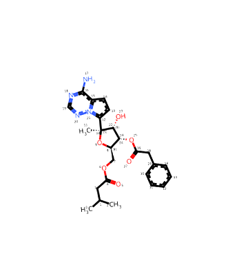 CC(C)CC(=O)OC[C@H]1O[C@@](C)(c2ccc3c(N)ncnn23)[C@H](O)[C@@H]1OC(=O)Cc1ccccc1